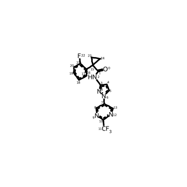 O=C(Nc1ccn(-c2cnc(C(F)(F)F)nc2)n1)C1(c2ccccc2F)CC1